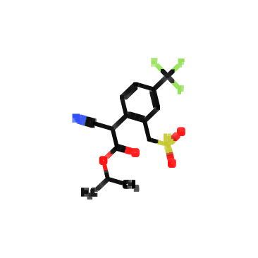 CC(C)OC(=O)C(C#N)c1ccc(C(F)(F)F)cc1C[SH](=O)=O